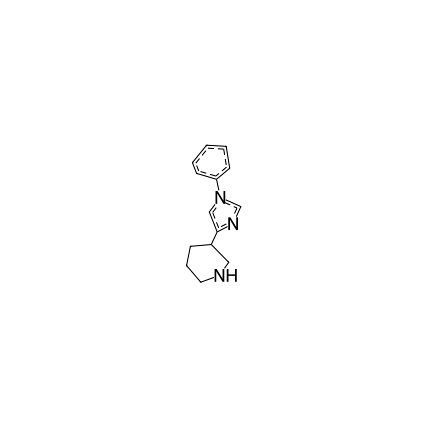 c1ccc(-n2cnc(C3CCCNC3)c2)cc1